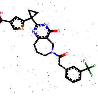 O=C(O)c1csc(C2(c3nc4c(c(=O)[nH]3)CN(C(=O)Cc3cccc(C(F)(F)F)c3)CCC4)CC2)c1